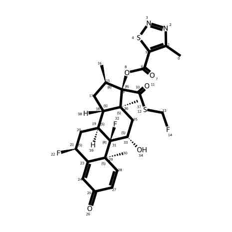 Cc1nnsc1C(=O)O[C@]1(C(=O)SCF)[C@H](C)C[C@H]2[C@@H]3C[C@H](F)C4=CC(=O)C=C[C@]4(C)[C@@]3(F)[C@@H](O)C[C@@]21C